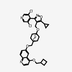 Clc1cncc(Cl)c1-c1noc(C2CC2)c1COC12CCC(COc3ccc4nccc(OCC5CCC5)c4c3)(CC1)CC2